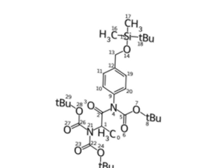 CC(C(=O)N(C(=O)OC(C)(C)C)c1ccc(CO[Si](C)(C)C(C)(C)C)cc1)N(C(=O)OC(C)(C)C)C(=O)OC(C)(C)C